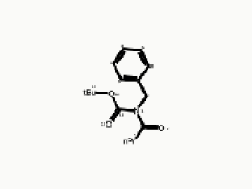 CCCC(=O)N(Cc1ccccc1)C(=O)OC(C)(C)C